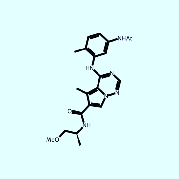 COC[C@H](C)NC(=O)c1cn2ncnc(Nc3cc(NC(C)=O)ccc3C)c2c1C